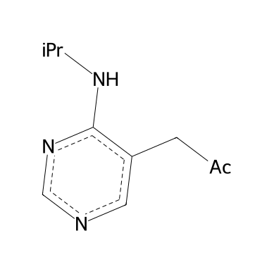 CC(=O)Cc1cncnc1NC(C)C